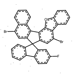 Fc1ccc2c(c1)C1(c3ccccc3-2)c2cc(Br)c3ccccc3c2-c2c1cc(Br)c1c2oc2ccccc21